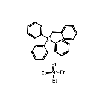 CC[N+](CC)(CC)CC.c1ccc(C[B-](c2ccccc2)(c2ccccc2)c2ccccc2)cc1